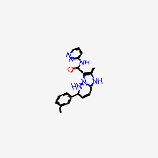 CC1=C(C(=O)Nc2cccnn2)N2NC(c3cccc(C)c3)C=CC2N1